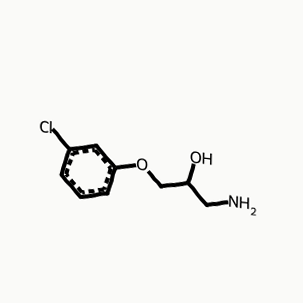 NCC(O)COc1cccc(Cl)c1